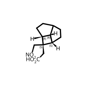 O=C(O)C[C@@]1(C[N+](=O)[O-])[C@@H]2CCC3CC[C@H]1[C@@H]32